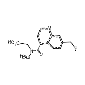 CC(C)(C)N(CC(=O)O)C(=O)c1ccnc2cc(CF)ccc12